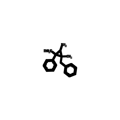 CCOC(=O)C1(c2ccccc2)C(N)C1(C)Cc1ccccc1